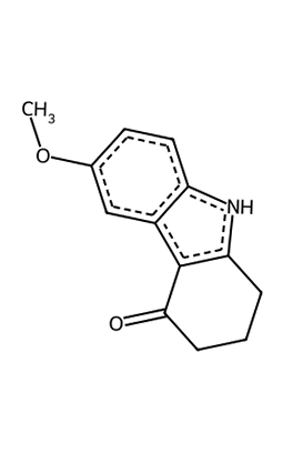 COc1ccc2[nH]c3c(c2c1)C(=O)CCC3